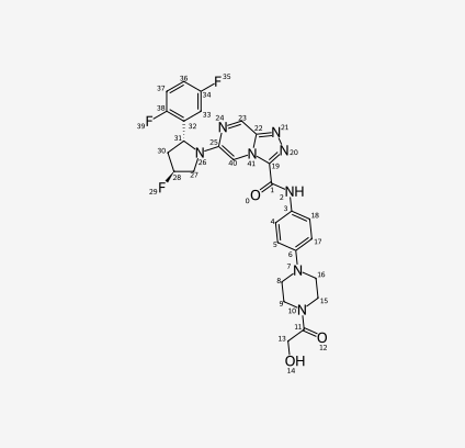 O=C(Nc1ccc(N2CCN(C(=O)CO)CC2)cc1)c1nnc2cnc(N3C[C@@H](F)C[C@@H]3c3cc(F)ccc3F)cn12